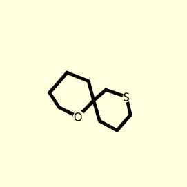 C1CCC2(CCCSC2)OC1